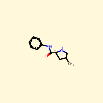 CC1CN[C@H](C(=O)Nc2ccccc2)C1